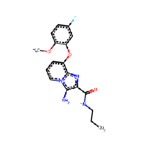 CCCNC(=O)c1nc2c(Oc3cc(F)ccc3OC)cccn2c1N